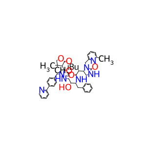 CCC(C)C(C(=O)NC(Cc1ccccc1)C(O)CNN(Cc1ccc(-c2ccccn2)cc1)C(=O)C1C(=O)OCC1(C)C)C1CNC(=O)N1Cc1cccc(C)n1